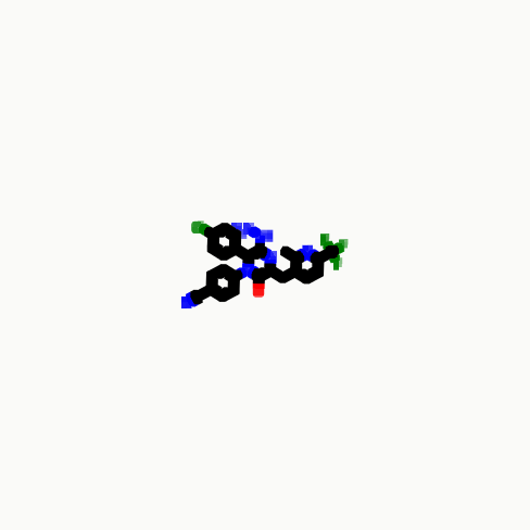 Cc1nc(C(F)(F)F)ccc1Cc1nc(NN)c(-c2ccc(Cl)cc2)n(-c2ccc(C#N)cc2)c1=O